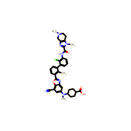 Cc1c(-c2nc3cc(N(C)C4CCC(C(=O)O)CC4)cc(C#N)c3o2)cccc1-c1cccc(NC(=O)c2nc3c(n2C)CCN(C)C3)c1Cl